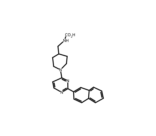 O=C(O)NCC1CCN(c2ccnc(-c3ccc4ccccc4c3)n2)CC1